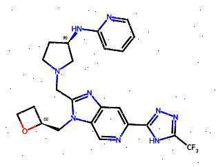 FC(F)(F)c1nnc(-c2cc3nc(CN4CC[C@@H](Nc5ccccn5)C4)n(C[C@@H]4CCO4)c3cn2)[nH]1